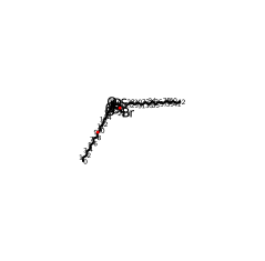 CCCCCCCCCCCCCCCCOOP(=O)(OCCBr)OCSCCCCCCCCCCCCCCCC